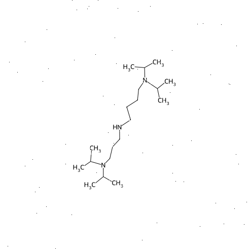 CC(C)N(CCCCNCCCN(C(C)C)C(C)C)C(C)C